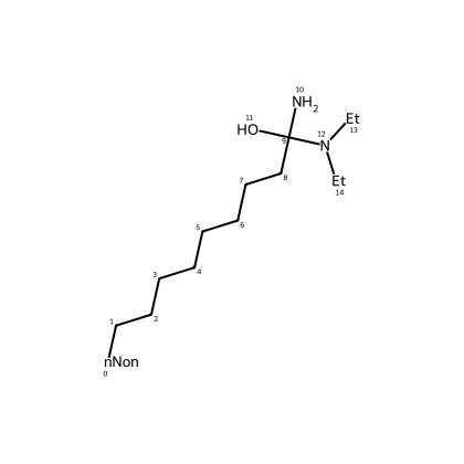 CCCCCCCCCCCCCCCCCC(N)(O)N(CC)CC